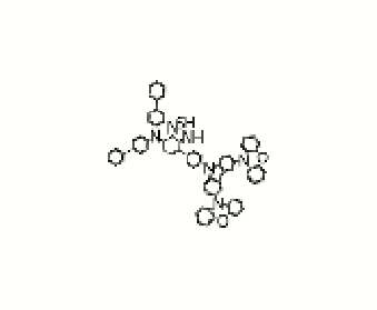 N=C1C(c2ccc(-n3c4ccc(N5c6ccccc6Oc6ccccc65)cc4c4cc(N5c6ccccc6Oc6ccccc65)ccc43)cc2)=CC=C(N(c2ccc(-c3ccccc3)cc2)c2ccc(-c3ccccc3)cc2)/C1=N/S